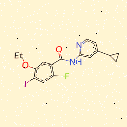 CCOc1cc(C(=O)Nc2cc(C3CC3)ccn2)c(F)cc1I